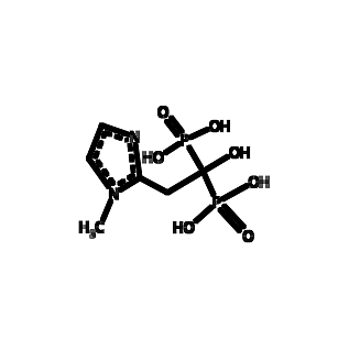 Cn1ccnc1CC(O)(P(=O)(O)O)P(=O)(O)O